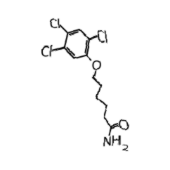 NC(=O)CCCCCOc1cc(Cl)c(Cl)cc1Cl